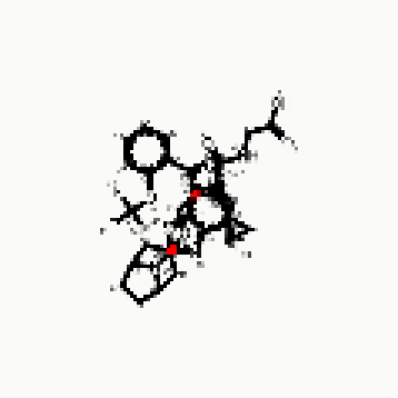 O=C(O)CNC(=O)c1cc(F)c2nc(N3C4CCC3CC(OCc3c(-c5ccccc5OC(F)(F)F)noc3C3CC3)C4)sc2c1